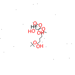 CC(CCCCC(O)OC(C)(C)C)OC1=C(O)C(O)[C@H]2OC2O1